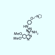 COc1cc2ncnc(-n3nc(Nc4ccc(OCCN5CCCC5)cc4)nc3N)c2cc1OC